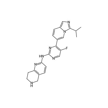 CC(C)c1ncc2ccc(-c3nc(Nc4ccc5c(n4)CCNC5)ncc3F)cn12